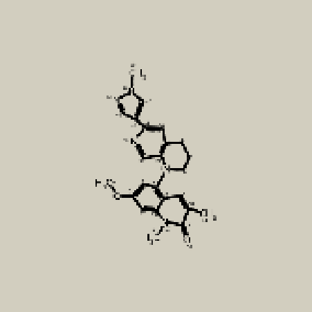 COc1cc(N2CCCc3cc(-c4cnn(C)c4)ncc32)c2cc(C)c(=O)n(C)c2c1